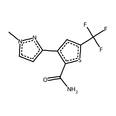 Cn1ccc(-c2cc(C(F)(F)F)sc2C(N)=O)n1